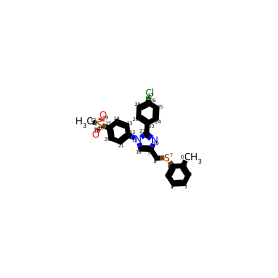 Cc1ccccc1SCc1cn(-c2ccc(S(C)(=O)=O)cc2)c(-c2ccc(Cl)cc2)n1